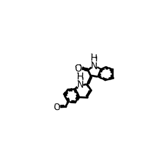 O=Cc1ccc2c(c1)C=C/C(=C1/C(=O)Nc3ccccc31)N2